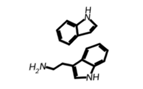 NCCc1c[nH]c2ccccc12.c1ccc2[nH]ccc2c1